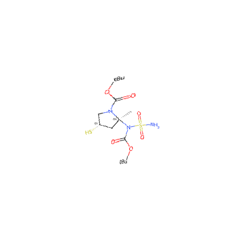 CC(C)(C)OC(=O)N1C[C@@H](S)C[C@]1(C)N(C(=O)OC(C)(C)C)S(N)(=O)=O